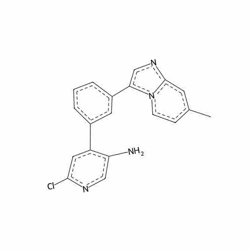 Cc1ccn2c(-c3cccc(-c4cc(Cl)ncc4N)c3)cnc2c1